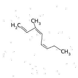 C=C/C(C)=C\C=C/CC